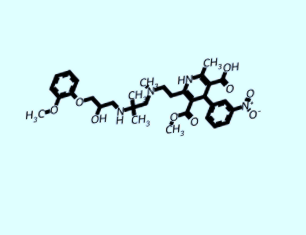 COC(=O)C1=C(CCN(C)CC(C)(C)NCC(O)COc2ccccc2OC)NC(C)=C(C(=O)O)C1c1cccc([N+](=O)[O-])c1